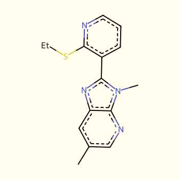 CCSc1ncccc1-c1nc2cc(C)cnc2n1C